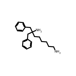 NCCCCCCC(N)(Cc1ccccc1)Cc1ccccc1